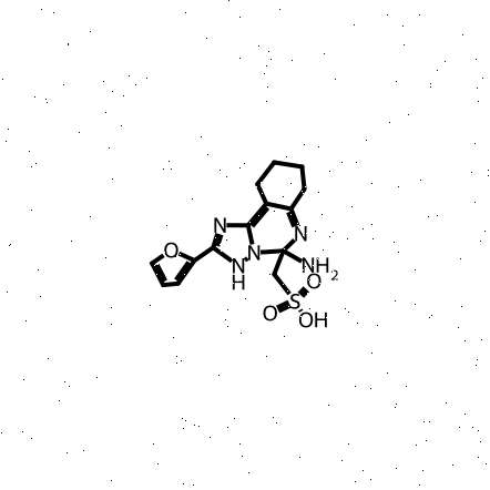 NC1(CS(=O)(=O)O)N=C2CCCCC2=C2N=C(c3ccco3)NN21